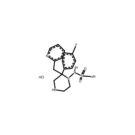 CCCS(=O)(=O)N(C(C)C)N1CCNCC1(Cc1ccccn1)c1ccc(F)cc1.Cl